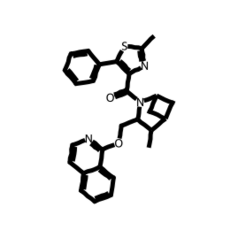 Cc1nc(C(=O)N2C3CC(C3)C(C)C2COc2nccc3ccccc23)c(-c2ccccc2)s1